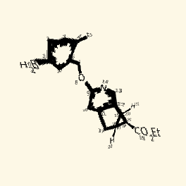 Bc1ccc(F)c(COc2cc3c(cn2)[C@H]2[C@@H](C3)[C@@H]2C(=O)OCC)c1